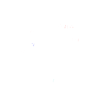 O.O=CO.O=[N+]([O-])c1cccc(F)c1